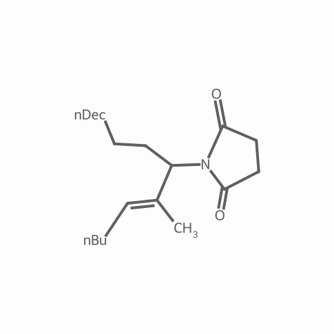 CCCC/C=C(\C)C(CCCCCCCCCCCC)N1C(=O)CCC1=O